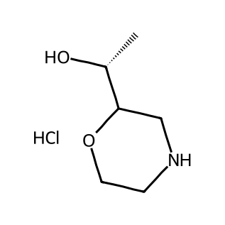 C[C@@H](O)C1CNCCO1.Cl